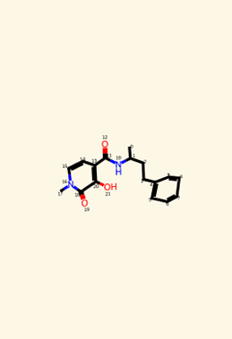 CC(CCc1ccccc1)NC(=O)c1ccn(C)c(=O)c1O